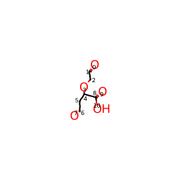 O=CCOC(CC=O)C(=O)O